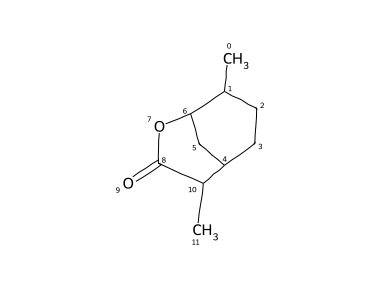 CC1CCC2CC1OC(=O)C2C